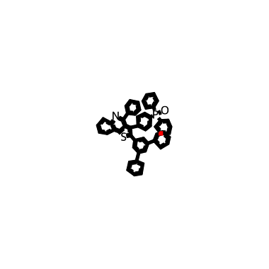 O=P(c1ccccc1)(c1ccccc1)c1ccc(-c2c(-c3cc(-c4ccccc4)cc(-c4ccccc4)c3)sc3c2c(-c2ccccc2)nc2ccccc23)cc1